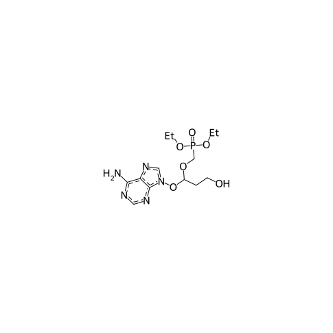 CCOP(=O)(COC(CCO)On1cnc2c(N)ncnc21)OCC